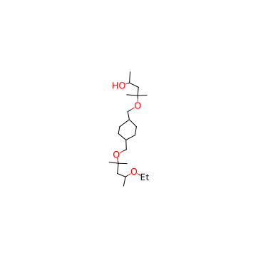 CCOC(C)CC(C)(C)OCC1CCC(COC(C)(C)CC(C)O)CC1